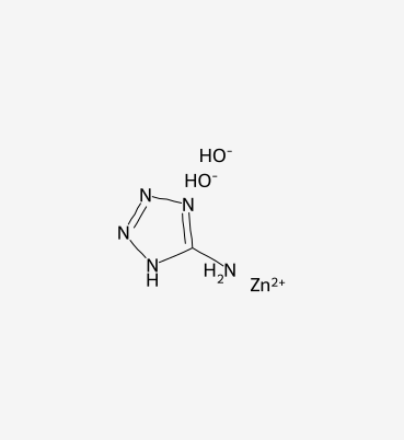 Nc1nnn[nH]1.[OH-].[OH-].[Zn+2]